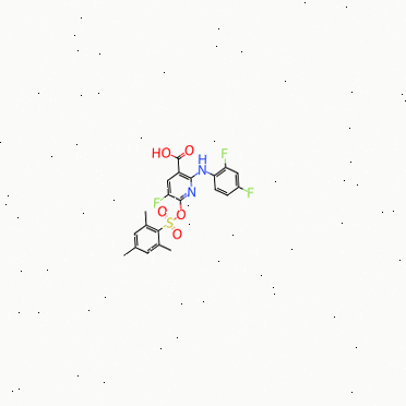 Cc1cc(C)c(S(=O)(=O)Oc2nc(Nc3ccc(F)cc3F)c(C(=O)O)cc2F)c(C)c1